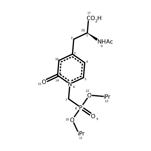 CC(=O)N[C@@H](Cc1ccn(CP(=O)(OC(C)C)OC(C)C)c(=O)c1)C(=O)O